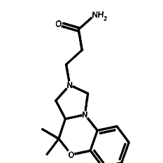 CC1(C)Oc2ccccc2N2CN(CCC(N)=O)CC21